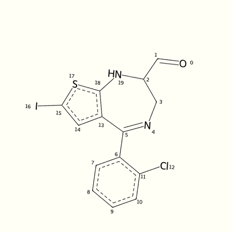 O=CC1CN=C(c2ccccc2Cl)c2cc(I)sc2N1